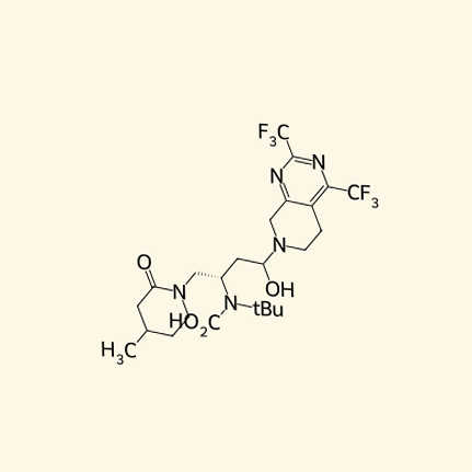 CC1CCN(C[C@H](CC(O)N2CCc3c(nc(C(F)(F)F)nc3C(F)(F)F)C2)N(C(=O)O)C(C)(C)C)C(=O)C1